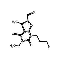 CCn1c(=O)c2c(C)c(C=O)sc2n(CCCF)c1=O